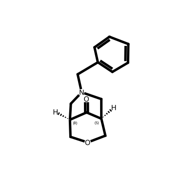 O=C1[C@@H]2COC[C@H]1CN(Cc1ccccc1)C2